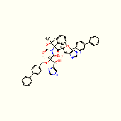 CC1(C)OC(=O)N(C(=O)[C@@](C)(OCc2ccc(-c3ccccc3)cc2)[C@@H](O)c2c[nH]cn2)C1(C(=O)[C@@](C)(OCc1ccc(-c2ccccc2)cc1)[C@@H](O)c1c[nH]cn1)c1ccccc1